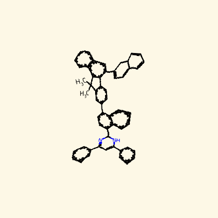 CC1(C)c2cc(-c3ccc(C4N=C(c5ccccc5)C=C(c5ccccc5)N4)c4ccccc34)ccc2-c2c(C3=CC=C4C=CC=CC4C3)cc3ccccc3c21